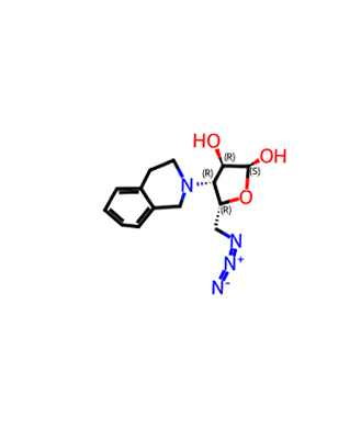 [N-]=[N+]=NC[C@H]1O[C@H](O)[C@H](O)[C@H]1N1CCc2ccccc2C1